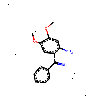 COc1cc(N)c(C(=N)c2ccccc2)cc1OC